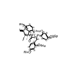 C=C[C@H](F)[C@](C)(NC(=O)N(Cc1ccc(OC)cc1OC)Cc1ccc(OC)cc1OC)c1nc(Br)ccc1F